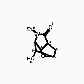 CCN1C(=O)C2CC3OC2C1C3O